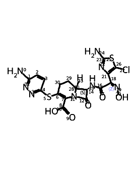 Nc1ccc(SC2=C(C(=O)O)N3C(=O)[C@@H](NC(=O)/C(=N\O)c4nc(N)sc4Cl)[C@H]3CC2)nn1